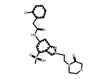 CS(=N)(=O)c1cc(NC(=O)Cc2ccccc2Cl)cc2nn(CCN3CCOCC3=O)cc12